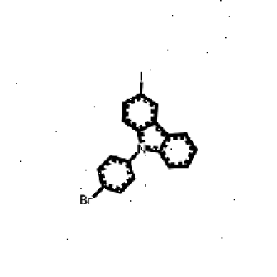 Brc1ccc(-n2c3ccccc3c3cc(I)ccc32)cc1